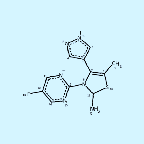 CC1=C(c2cn[nH]c2)N(c2ncc(F)cn2)C(N)S1